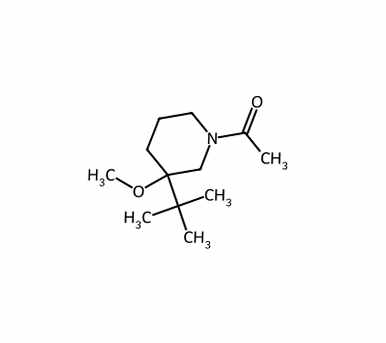 COC1(C(C)(C)C)CCCN(C(C)=O)C1